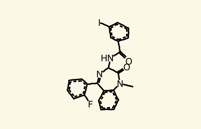 CN1C(=O)C(NC(=O)c2cccc(I)c2)N=C(c2ccccc2F)c2ccccc21